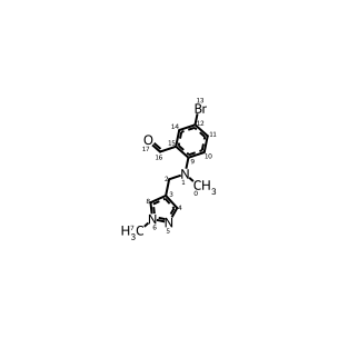 CN(Cc1cnn(C)c1)c1ccc(Br)cc1C=O